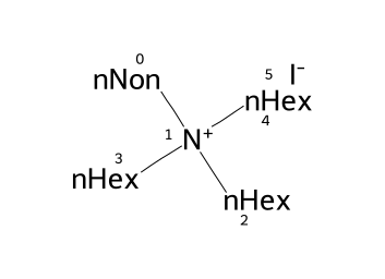 CCCCCCCCC[N+](CCCCCC)(CCCCCC)CCCCCC.[I-]